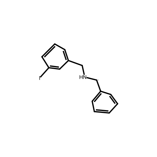 Ic1cccc(CN[CH]c2ccccc2)c1